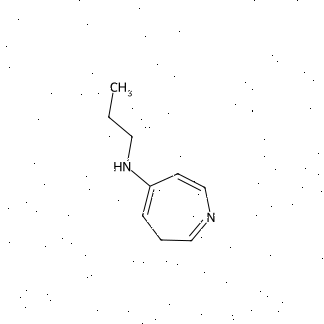 CCCNC1=CCC=NC=C1